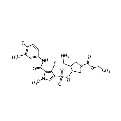 CCOC(=O)N1CC(CN)C(NS(=O)(=O)c2cn(C)c(C(=O)Nc3ccc(F)c(C)c3)c2F)C1